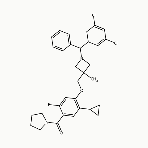 CC1(COc2cc(F)c(C(=O)N3CCCC3)cc2C2CC2)CN(C(c2ccccc2)C2C=C(Cl)C=C(Cl)C2)C1